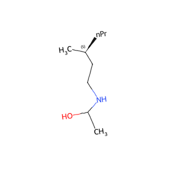 CCC[C@H](C)CCNC(C)O